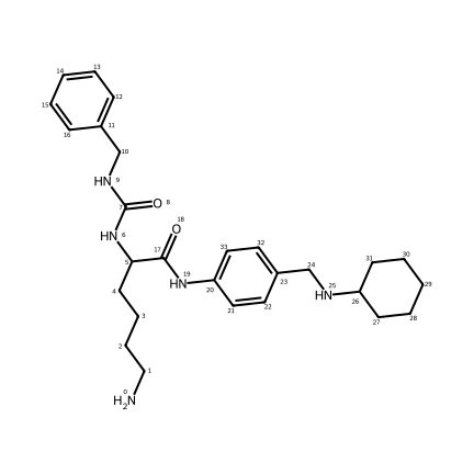 NCCCCC(NC(=O)NCc1ccccc1)C(=O)Nc1ccc(CNC2CCCCC2)cc1